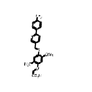 COc1cc(OCC(=O)O)c(C)cc1SCc1ccc(-c2ccc(C(F)(F)F)cc2)nc1